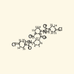 O=C(Nc1cccc2c1C(=O)c1cccc(NC(=O)c3ccc(Cl)cc3)c1C2=O)c1ccc(Cl)cc1